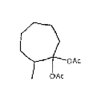 CC(=O)OC1(OC(C)=O)CCCCCC1C